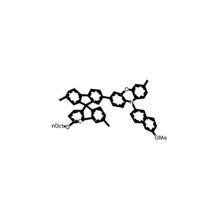 CCCCCCCCOc1ccc2c(c1)-c1cc(C)ccc1C21c2cc(C)ccc2-c2ccc(-c3ccc4c(c3)Oc3cc(C)ccc3N4c3ccc4cc(OC)ccc4c3)cc21